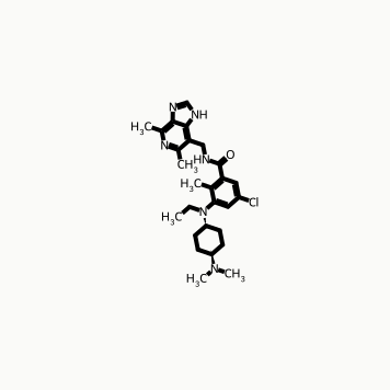 CCN(c1cc(Cl)cc(C(=O)NCc2c(C)nc(C)c3nc[nH]c23)c1C)[C@H]1CC[C@H](N(C)C)CC1